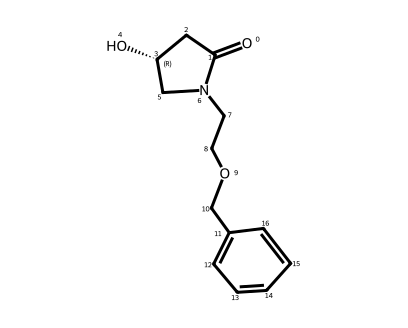 O=C1C[C@@H](O)CN1CCOCc1ccccc1